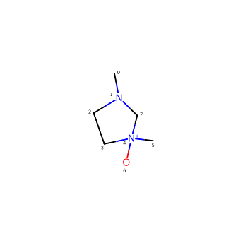 CN1CC[N+](C)([O-])C1